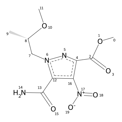 COC(=O)c1nn(C[C@H](C)OC)c(C(N)=O)c1[N+](=O)[O-]